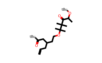 C=CCC(CCOC(C)(C)C(C)(C)C(=O)C(C)OC(C)(C)C)CC(=O)C(C)(C)C